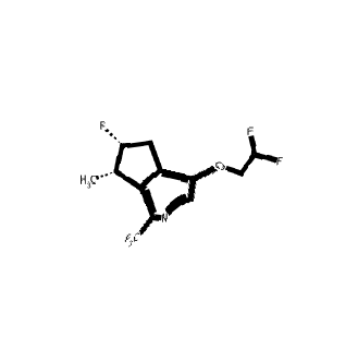 C[C@H]1c2c(C(F)(F)F)ncc(OCC(F)F)c2C[C@H]1F